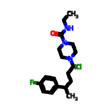 CCNC(=O)N1CCN(CCCC(C)c2ccc(F)cc2)CC1.Cl